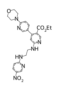 CCOC(=O)c1cnc(NCCNc2ccc([N+](=O)[O-])cn2)cc1-c1ccc(N2CCOCC2)nc1